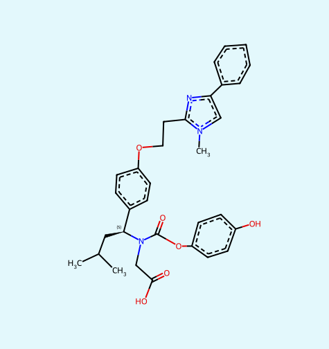 CC(C)C[C@@H](c1ccc(OCCc2nc(-c3ccccc3)cn2C)cc1)N(CC(=O)O)C(=O)Oc1ccc(O)cc1